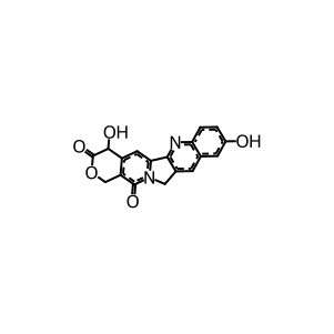 O=C1OCc2c(cc3n(c2=O)Cc2cc4cc(O)ccc4nc2-3)C1O